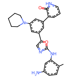 Cc1ccc(N)cc1Nc1ncc(-c2cc(-c3ccc[nH]c3=O)cc(N3CCCCC3)c2)o1